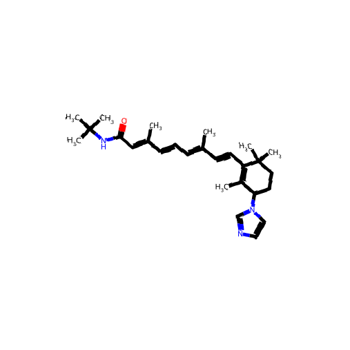 CC1=C(/C=C/C(C)=C/C=C/C(C)=C/C(=O)NC(C)(C)C)C(C)(C)CCC1n1ccnc1